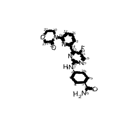 NC(=O)[C@H]1CC[C@H](Nc2ncc(F)c(-c3cccc(N4CCOCC4=O)n3)n2)CC1